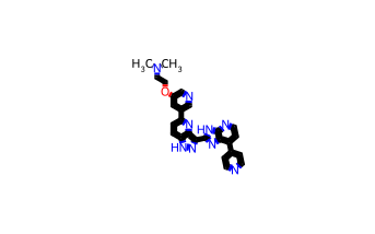 CN(C)CCOc1cncc(-c2ccc3[nH]nc(-c4nc5c(-c6ccncc6)ccnc5[nH]4)c3n2)c1